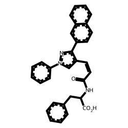 O=C(/C=C\c1cn(-c2ccccc2)nc1-c1ccc2ccccc2c1)NC(Cc1ccccc1)C(=O)O